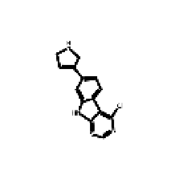 Clc1ncnc2[nH]c3cc(C4=CCNC4)ccc3c12